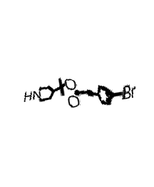 CC(C)(OC(=O)C#Cc1ccc(Br)cc1)C1CCNCC1